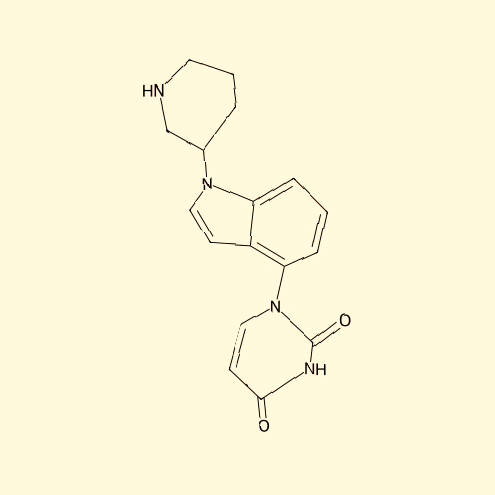 O=c1ccn(-c2cccc3c2ccn3C2CCCNC2)c(=O)[nH]1